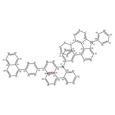 C1=CCC(c2cccc3c2c2c(-c4cccc(N(c5ccc(-c6ccc(-c7cccc8ccccc78)cc6)cc5)c5ccccc5-c5ccccc5)c4)cccc2n3-c2ccccc2)C=C1